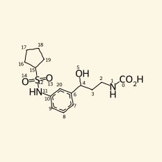 O=C(O)NCCC(O)c1cccc(NS(=O)(=O)C2CCCC2)c1